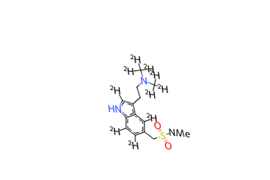 [2H]c1[nH]c2c([2H])c([2H])c(CS(=O)(=O)NC)c([2H])c2c1CCN(C([2H])([2H])[2H])C([2H])([2H])[2H]